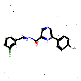 COc1ccc(-c2cncc(C(=O)N/N=C/c3cccc(Br)c3)n2)cc1